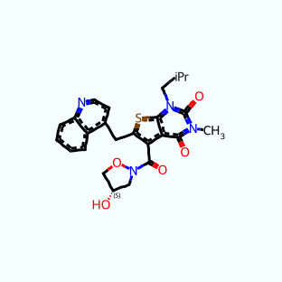 CC(C)Cn1c(=O)n(C)c(=O)c2c(C(=O)N3C[C@H](O)CO3)c(Cc3ccnc4ccccc34)sc21